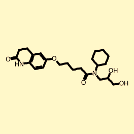 O=C1CCc2cc(OCCCCC(=O)N(CC(O)CO)C3CCCCC3)ccc2N1